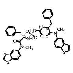 CN(C(=O)[C@H](Cc1ccccc1)NC(=O)NS(=O)(=O)N[C@@H](Cc1ccccc1)C(=O)N(C)c1ccc2scnc2c1)c1ccc2sccc2c1